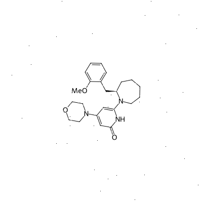 COc1ccccc1C[C@H]1CCCCCN1c1cc(N2CCOCC2)cc(=O)[nH]1